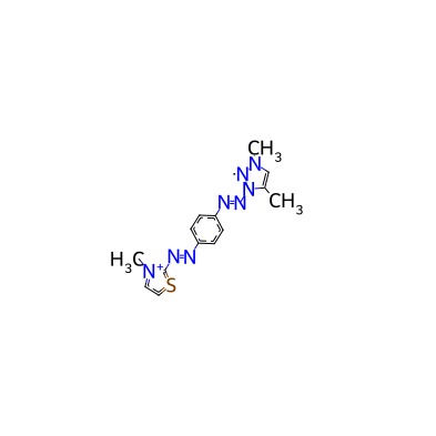 CC1=CN(C)[N]N1N=Nc1ccc(N=Nc2scc[n+]2C)cc1